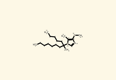 CCCCCCCC(C)(CCCCC)n1cnc(OC)c1C